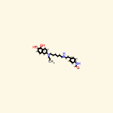 CCCN(CCCCCCNCCc1ccc(NC=O)cc1)C1CCc2c(ccc(O)c2O)C1